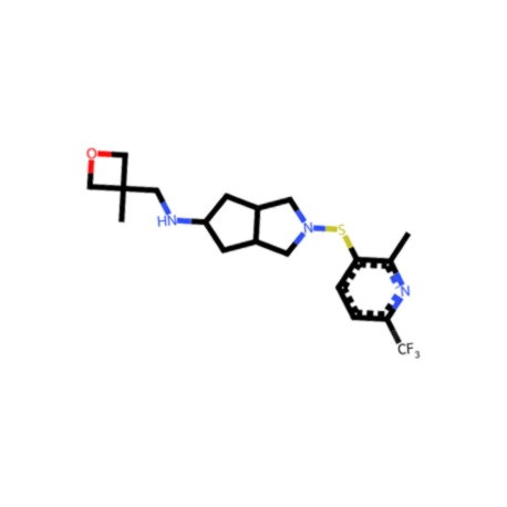 Cc1nc(C(F)(F)F)ccc1SN1CC2CC(NCC3(C)COC3)CC2C1